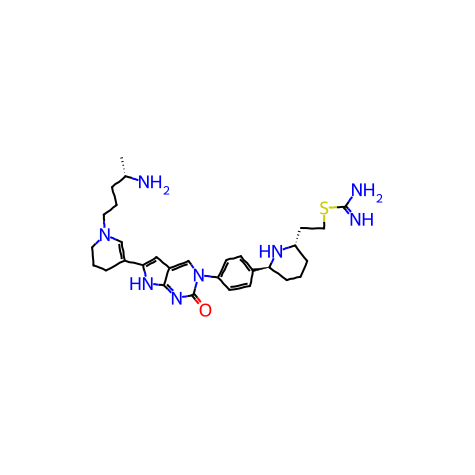 C[C@H](N)CCCN1C=C(c2cc3cn(-c4ccc([C@@H]5CCC[C@@H](CCSC(=N)N)N5)cc4)c(=O)nc3[nH]2)CCC1